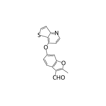 Cc1oc2cc(Oc3ccnc4ccsc34)ccc2c1C=O